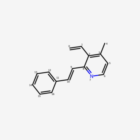 C=Cc1c(C)ccnc1C=Cc1ccccc1